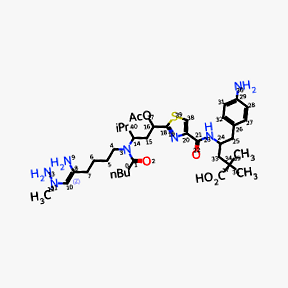 CCCCC(=O)N(CCCC/C(N)=C/N(C)N)C(CC(OC(C)=O)c1nc(C(=O)NC(Cc2ccc(N)cc2)CC(C)(C)C(=O)O)cs1)C(C)C